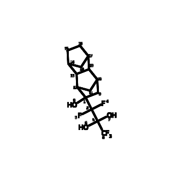 OC1(C(F)(F)C(O)(O)C(F)(F)F)CC2CC1C1C3CCC(C3)C21